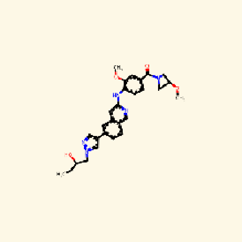 CCC(O)Cn1cc(-c2ccc3cnc(Nc4ccc(C(=O)N5CC(OC)C5)cc4OC)cc3c2)cn1